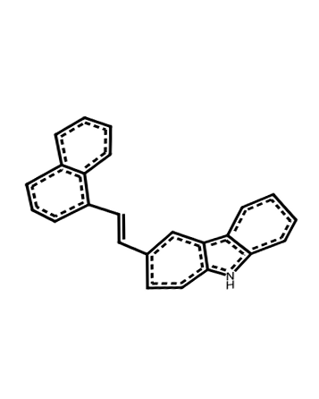 C(=Cc1cccc2ccccc12)c1ccc2[nH]c3ccccc3c2c1